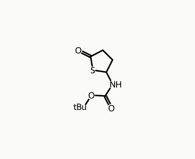 CC(C)(C)OC(=O)NC1CCC(=O)S1